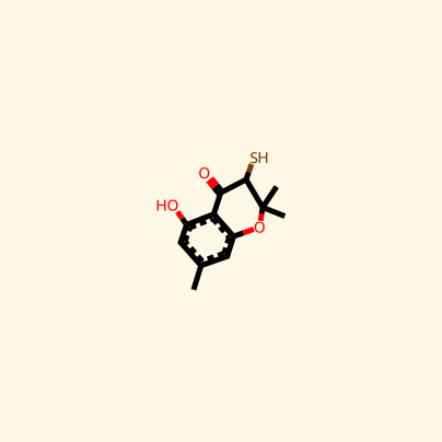 Cc1cc(O)c2c(c1)OC(C)(C)C(S)C2=O